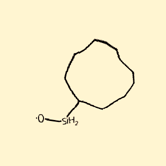 [O][SiH2]C1CCCCCCC1